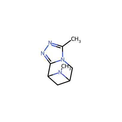 Cc1nnc2n1CC1CC2N1C